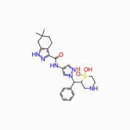 CC1(C)CCc2c(C(=O)Nc3cnn(C(c4ccccc4)C4CNCCS4(O)O)c3)n[nH]c2C1